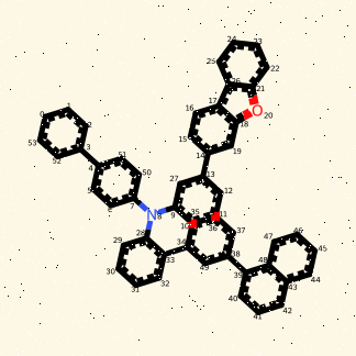 c1ccc(-c2ccc(N(c3cccc(-c4ccc5c(c4)oc4ccccc45)c3)c3ccccc3-c3cccc(-c4cccc5ccccc45)c3)cc2)cc1